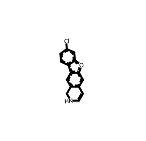 Clc1ccc2c(c1)oc1cc3c(cc12)CNC=C3